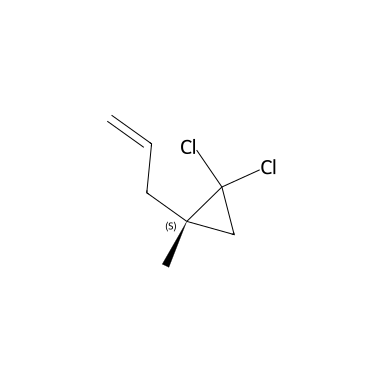 C=CC[C@@]1(C)CC1(Cl)Cl